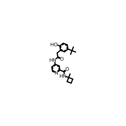 CC1(NC(=O)c2cc(NC(=O)Cc3cc(C(C)(C)C)ccc3O)ccn2)CCC1